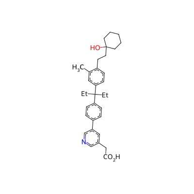 CCC(CC)(c1ccc(-c2cncc(CC(=O)O)c2)cc1)c1ccc(CCC2(O)CCCCC2)c(C)c1